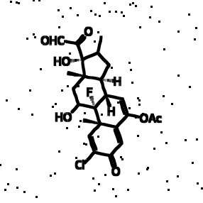 CC(=O)OC1=C[C@H]2[C@@H]3CC(C)[C@](O)(C(=O)C=O)[C@@]3(C)CC(O)[C@]2(F)[C@@]2(C)C=C(Cl)C(=O)C=C12